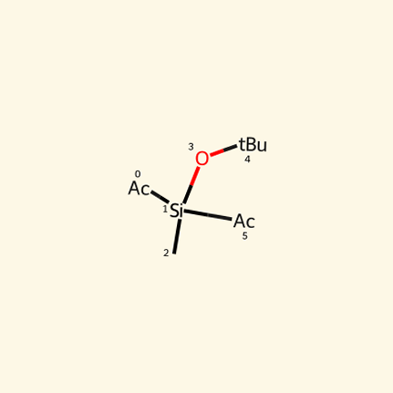 CC(=O)[Si](C)(OC(C)(C)C)C(C)=O